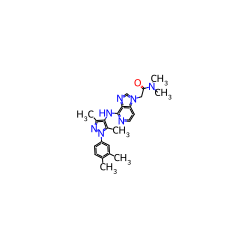 Cc1ccc(-n2nc(C)c(Nc3nccc4c3ncn4CC(=O)N(C)C)c2C)cc1C